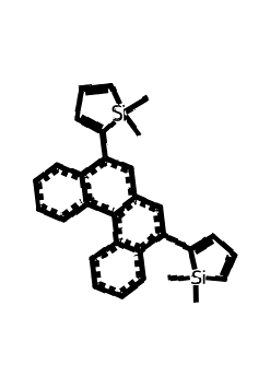 C[Si]1(C)C=CC=C1c1cc2cc(C3=CC=C[Si]3(C)C)c3ccccc3c2c2ccccc12